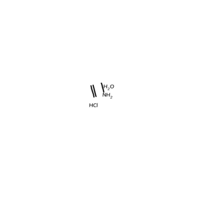 C=C.CN.Cl.O